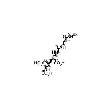 CCCCCCNC(=O)NCCONC(=O)CNCCN(CCN(CCNCC(=O)O)CC(=O)O)CC(=O)O